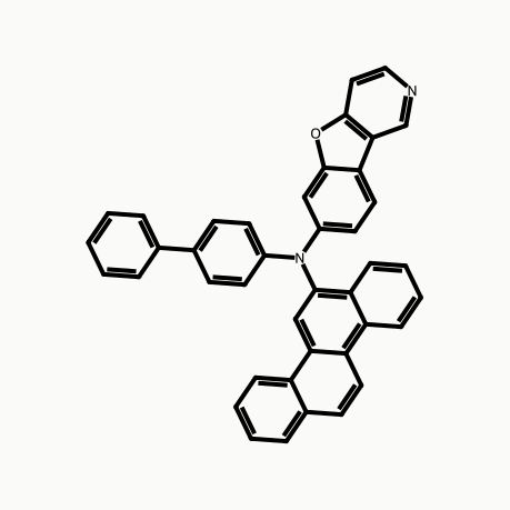 c1ccc(-c2ccc(N(c3ccc4c(c3)oc3ccncc34)c3cc4c5ccccc5ccc4c4ccccc34)cc2)cc1